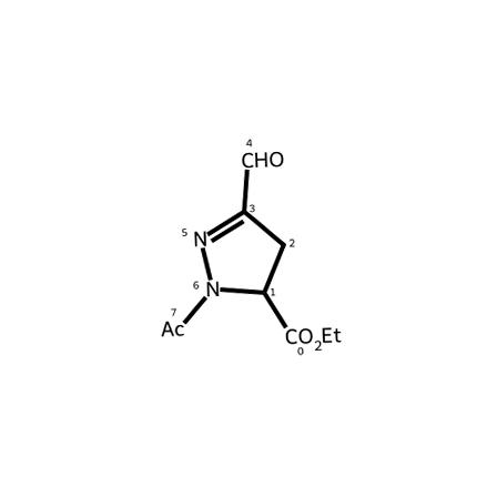 CCOC(=O)C1CC(C=O)=NN1C(C)=O